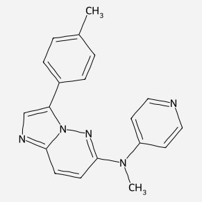 Cc1ccc(-c2cnc3ccc(N(C)c4ccncc4)nn23)cc1